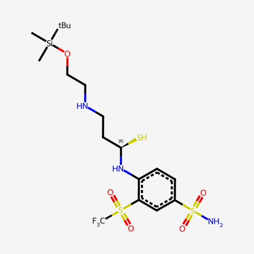 CC(C)(C)[Si](C)(C)OCCNCC[C@@H](S)Nc1ccc(S(N)(=O)=O)cc1S(=O)(=O)C(F)(F)F